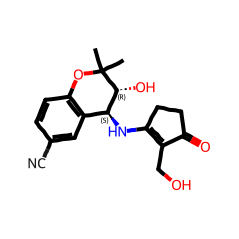 CC1(C)Oc2ccc(C#N)cc2[C@H](NC2=C(CO)C(=O)CC2)[C@H]1O